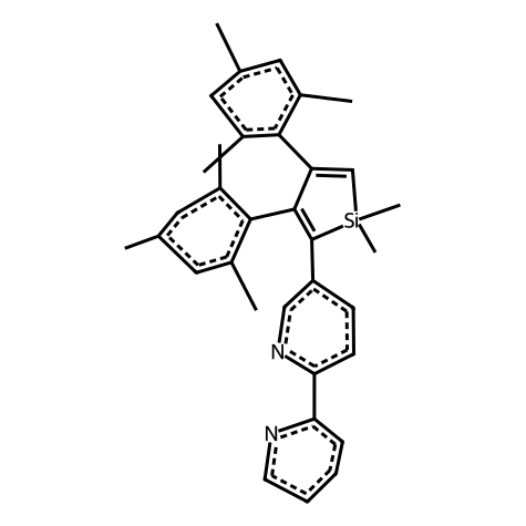 Cc1cc(C)c(C2=C[Si](C)(C)C(c3ccc(-c4ccccn4)nc3)=C2c2c(C)cc(C)cc2C)c(C)c1